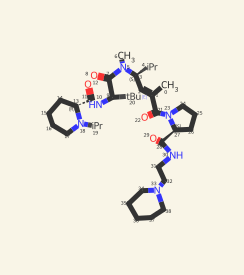 C/C(=C\[C@H](C(C)C)N(C)C(=O)C(NC(=O)[C@H]1CCCCN1C(C)C)C(C)(C)C)C(=O)N1CCC[C@H]1C(=O)NCCN1CCCCC1